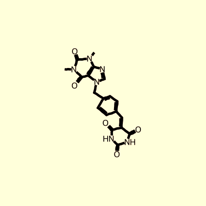 Cn1c(=O)c2c(ncn2Cc2ccc(C=C3C(=O)NC(=O)NC3=O)cc2)n(C)c1=O